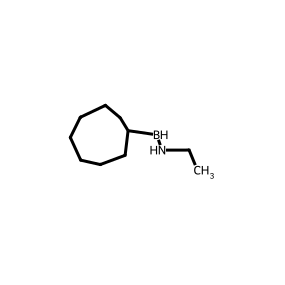 CCNBC1CCCCCCC1